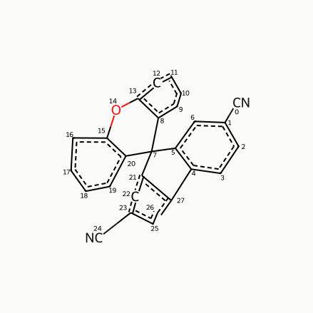 N#Cc1ccc2c(c1)C1(c3ccccc3Oc3ccccc31)c1cc(C#N)ccc1-2